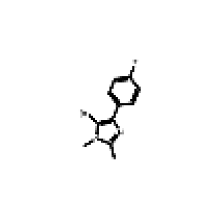 Cc1nc(-c2ccc(F)cc2)c(Br)n1C